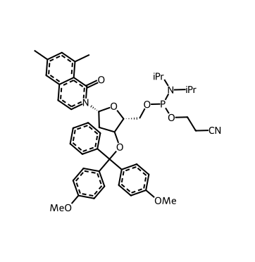 COc1ccc(C(OC2C[C@H](n3ccc4cc(C)cc(C)c4c3=O)O[C@@H]2COP(OCCC#N)N(C(C)C)C(C)C)(c2ccccc2)c2ccc(OC)cc2)cc1